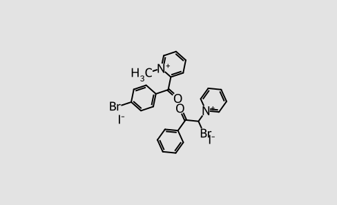 C[n+]1ccccc1C(=O)c1ccc(Br)cc1.O=C(c1ccccc1)C(Br)[n+]1ccccc1.[I-].[I-]